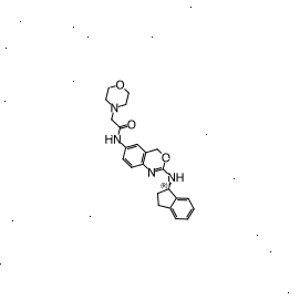 O=C(CN1CCOCC1)Nc1ccc2c(c1)COC(N[C@@H]1CCc3ccccc31)=N2